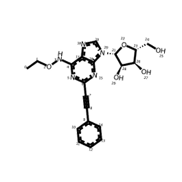 CCONc1nc(C#Cc2ccccc2)nc2c1ncn2[C@@H]1O[C@H](CO)[C@@H](O)[C@H]1O